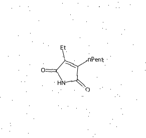 CCCCCC1=C(CC)C(=O)NC1=O